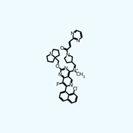 C/[N+](=C/C1CCN(C(=O)/C=C/c2ncccn2)C1)c1nc(OCC23CCCN2CCC3)nc2c(F)c(-c3cccc4cccc(Cl)c34)ncc12